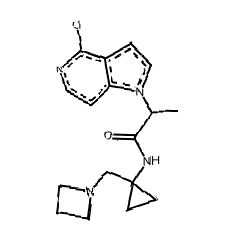 CC(C(=O)NC1(CN2CCC2)CC1)n1ccc2c(Cl)nccc21